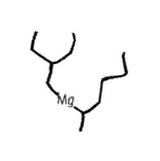 CCCC[CH](C)[Mg][CH2]C(CC)CC